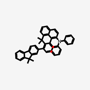 CC1(C)c2ccccc2-c2ccc(-c3cccc4c3C(C)(C)c3cccc5ccc(N(c6ccccc6)c6ccccc6)c-4c35)cc21